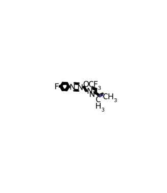 C/C=C(\C)c1cc(C(F)(F)F)n(CC(=O)N2CCN(c3ccc(F)cc3)CC2)n1